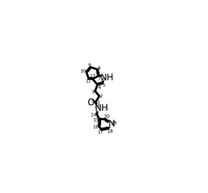 O=C(CCc1c[nH]c2ccccc12)NCc1cccnc1